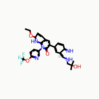 CCOC1C=Cc2cc(C3=C/C(=C/NCC(C)(C)O)C(=N)C=C3)c(=O)n(-c3ccc(OC(F)(F)F)nc3)c2N1